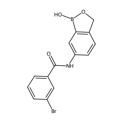 O=C(Nc1ccc2c(c1)B(O)OC2)c1cccc(Br)c1